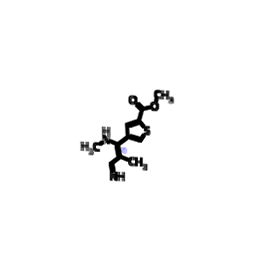 CN/C(=C(/C)C=N)c1csc(C(=O)OC)c1